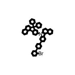 Brc1ccccc1-c1ccc(-c2ccc3c4c5ccccc5ccc4n(-c4ccc5c(c4)C(c4ccccc4)(c4ccccc4)c4ccc6ccccc6c4-5)c3c2)cc1